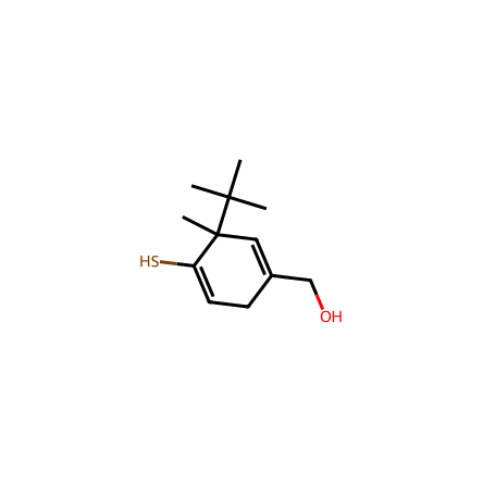 CC(C)(C)C1(C)C=C(CO)CC=C1S